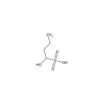 [CH2]CCC(O)S(=O)(=O)O